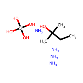 CCC(C)(C)O.N.N.N.N.O[Si](O)(O)O